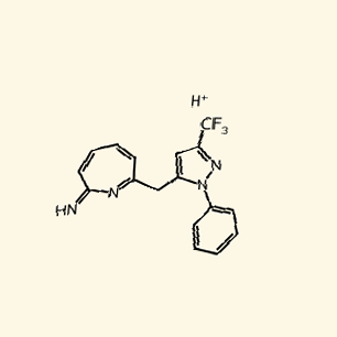 N=c1ccccc(Cc2cc(C(F)(F)F)nn2-c2ccccc2)n1.[H+]